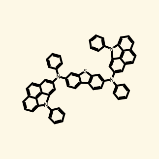 c1ccc(N(c2ccc3c(c2)sc2cc(N(c4ccccc4)c4cc5ccc6cccc7c6c5c(c4)n7-c4ccccc4)ccc23)c2cc3ccc4cccc5c4c3c(c2)n5-c2ccccc2)cc1